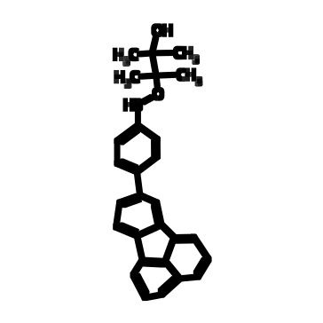 CC(C)(O)C(C)(C)OBc1ccc(-c2ccc3c(c2)-c2cccc4cccc-3c24)cc1